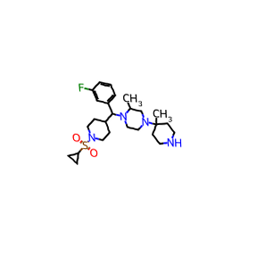 CC1CN(C2(C)CCNCC2)CCN1C(c1cccc(F)c1)C1CCN(S(=O)(=O)C2CC2)CC1